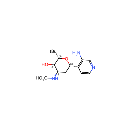 CC(C)(C)[C@@H]1O[C@H](c2ccncc2N)C[C@@H](NC(=O)O)[C@H]1O